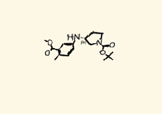 COC(=O)c1cc(N[C@@H]2CCN(C(=O)OC(C)(C)C)C2)ccc1C